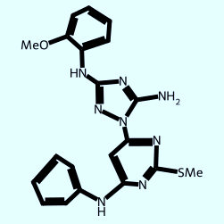 COc1ccccc1Nc1nc(N)n(-c2cc(Nc3ccccc3)nc(SC)n2)n1